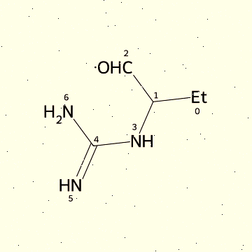 CCC([C]=O)NC(=N)N